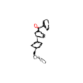 O=CC#Cc1ccc(-c2ccc(C(=O)c3ccccc3)cc2)cc1